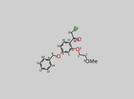 COCCOc1cc(OCc2ccccc2)ccc1C(=O)CBr